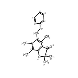 Cc1c(C)c2c(c(C)c1NCc1ccccc1)C(=O)C(C)(C)O2